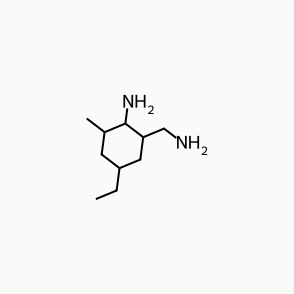 CCC1CC(C)C(N)C(CN)C1